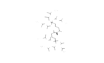 CCC(CCCC(OC(C)OC(C)OC)(OC(C)OC(C)OC)OC(C)OC(C)OC)C(=O)C(CC)CCCC(OC(C)OC(C)OC)(OC(C)OC(C)OC)OC(C)OC(C)OC